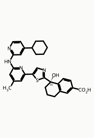 Cc1cc(Nc2cc(C3CCCCC3)ccn2)nc(-c2cnc([C@]3(O)CCCc4cc(C(=O)O)ccc43)s2)c1